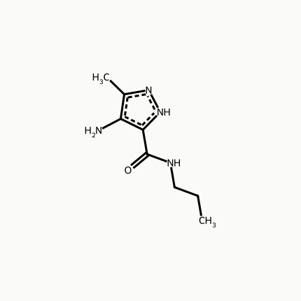 CCCNC(=O)c1[nH]nc(C)c1N